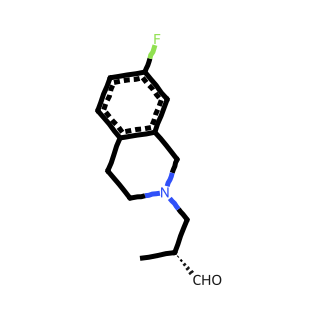 C[C@@H](C=O)CN1CCc2ccc(F)cc2C1